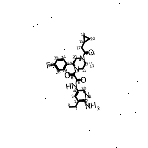 CCc1cc(NC(=O)C(=O)N2C[C@@H](C)N(C(=O)CC3CC3)C[C@@H]2c2ccc(F)cc2)cnc1N